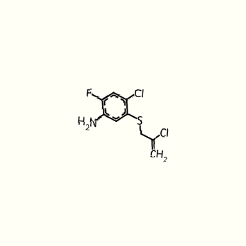 C=C(Cl)CSc1cc(N)c(F)cc1Cl